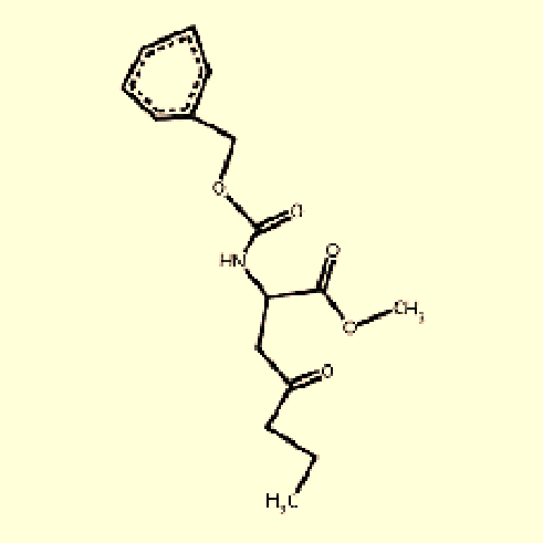 CCCC(=O)CC(NC(=O)OCc1ccccc1)C(=O)OC